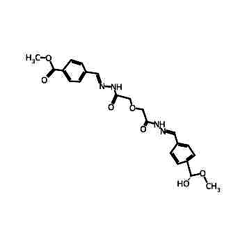 COC(=O)c1ccc(/C=N/NC(=O)COCC(=O)N/N=C/c2ccc([C@@H](O)OC)cc2)cc1